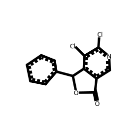 O=C1OC(c2ccccc2)c2c1cnc(Cl)c2Cl